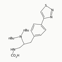 CCCCN(CCCC)C(CNC(=O)O)Cc1ccc(-c2csnn2)cc1